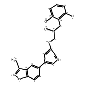 Cc1n[nH]c2ccc(-c3cncc(OC[C@@H](N)Cc4c(Cl)cccc4Cl)c3)cc12